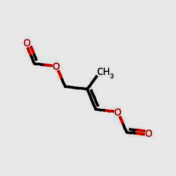 C/C(=C\OC=O)COC=O